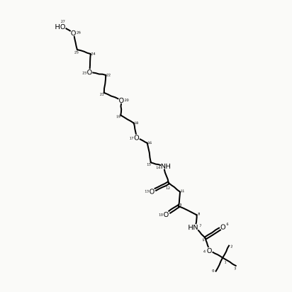 CC(C)(C)OC(=O)NCC(=O)CC(=O)NCCOCCOCCOCCOO